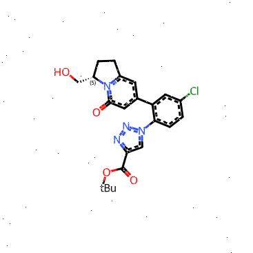 CC(C)(C)OC(=O)c1cn(-c2ccc(Cl)cc2-c2cc3n(c(=O)c2)[C@H](CO)CC3)nn1